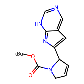 CC(C)(C)OC(=O)N1CC=CC1c1cc2cnc[nH]c-2n1